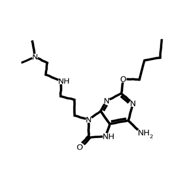 CCCCOc1nc(N)c2[nH]c(=O)n(CCCNCCN(C)C)c2n1